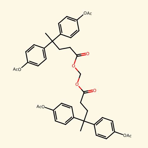 CC(=O)Oc1ccc(C(C)(CCC(=O)OCOC(=O)CCC(C)(c2ccc(OC(C)=O)cc2)c2ccc(OC(C)=O)cc2)c2ccc(OC(C)=O)cc2)cc1